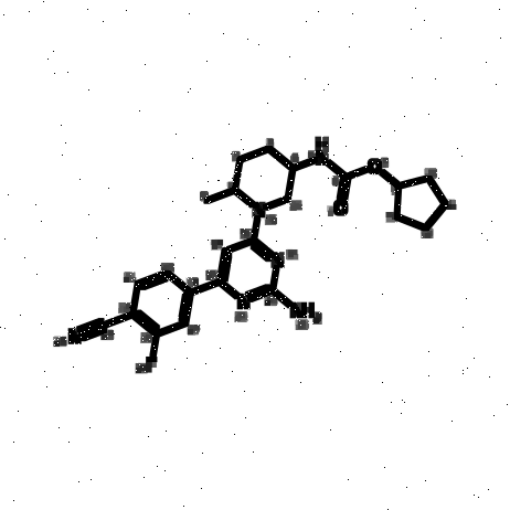 CC1CCC(NC(=O)OC2CCCC2)CN1c1cc(-c2ccc(C#N)c(F)c2)nc(N)n1